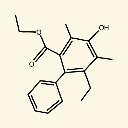 CCOC(=O)c1c(C)c(O)c(C)c(CC)c1-c1ccccc1